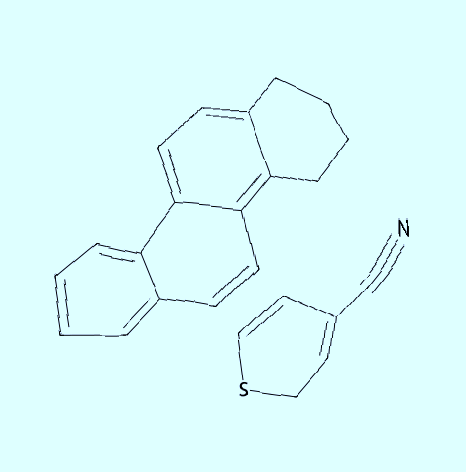 N#CC1=CCSC=C1.c1ccc2c(c1)ccc1c3c(ccc12)CCCC3